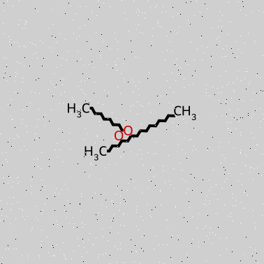 CCCCCCCCCCC(CCCCCC)OC(=O)CCCCCCCC